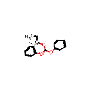 CC[SiH2]OC(Oc1ccccc1)Oc1ccccc1